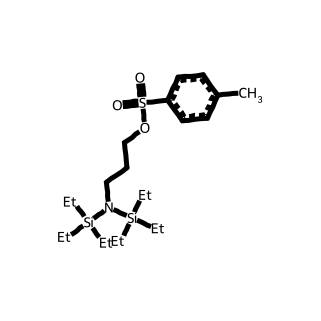 CC[Si](CC)(CC)N(CCCOS(=O)(=O)c1ccc(C)cc1)[Si](CC)(CC)CC